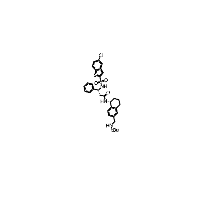 CC(C)(C)NCc1ccc2c(c1)CCC[C@H]2NC(=O)C[C@@H](NS(=O)(=O)c1cc2cc(Cl)ccc2s1)c1ccccc1